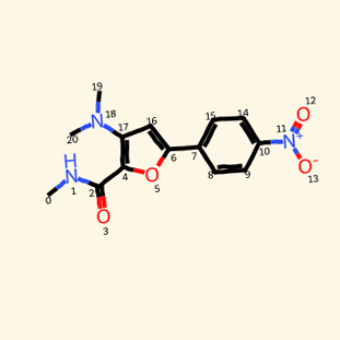 CNC(=O)c1oc(-c2ccc([N+](=O)[O-])cc2)cc1N(C)C